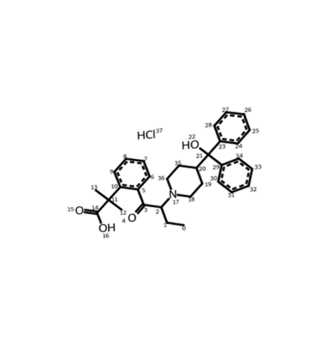 CCC(C(=O)c1ccccc1C(C)(C)C(=O)O)N1CCC(C(O)(c2ccccc2)c2ccccc2)CC1.Cl